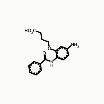 Nc1ccc(NC(=O)c2ccccc2)c(OCCCC(=O)O)c1